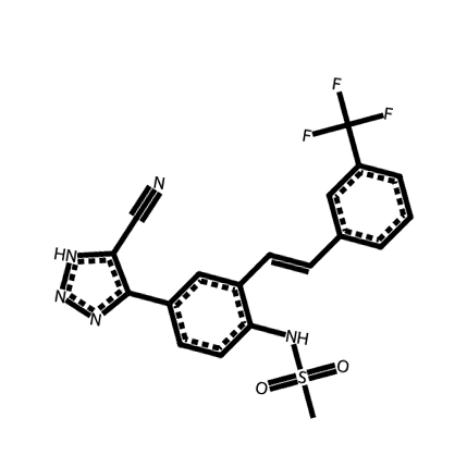 CS(=O)(=O)Nc1ccc(-c2nn[nH]c2C#N)cc1C=Cc1cccc(C(F)(F)F)c1